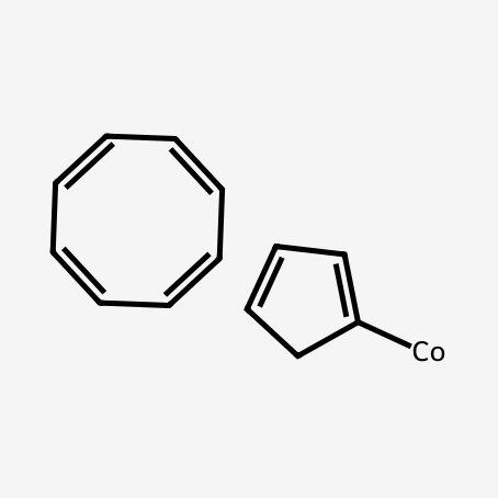 C1=CC=CC=CC=C1.[Co][C]1=CC=CC1